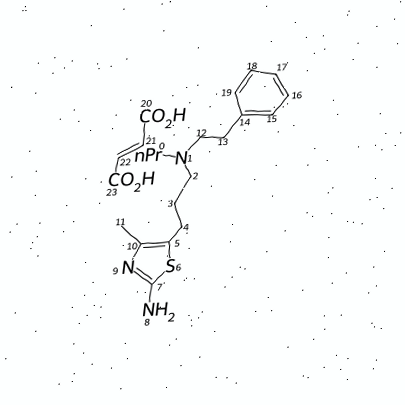 CCCN(CCCc1sc(N)nc1C)CCc1ccccc1.O=C(O)C=CC(=O)O